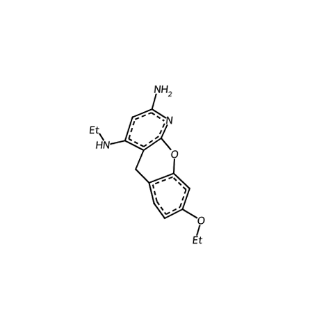 CCNc1cc(N)nc2c1Cc1ccc(OCC)cc1O2